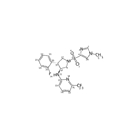 Cn1cnc(S(=O)(=O)N2C[C@@H](Nc3cccc(C(F)(F)F)n3)[C@H](c3ccccc3F)C2)c1